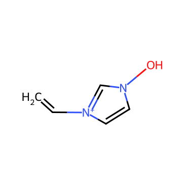 C=C[n+]1ccn(O)c1